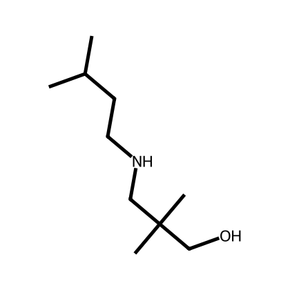 CC(C)CCNCC(C)(C)CO